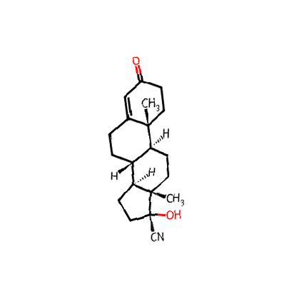 C[C@]12CCC(=O)C=C1CC[C@@H]1[C@@H]2CC[C@@]2(C)[C@H]1CC[C@]2(O)C#N